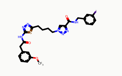 O=C(Cc1cccc(OC(F)(F)F)c1)Nc1nnc(CCCCn2cc(C(=O)NCc3cccc(I)c3)nn2)s1